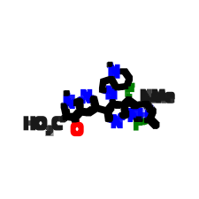 C=C(F)/C=C(/NC)c1[nH]c2ncc(-c3cnc4c(c3)c(=O)c(C(=O)O)cn4C)c(N3CCC4C3CCCN4C)c2c1F